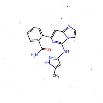 Cc1cc(Nc2nc(-c3ccccc3C(N)=O)cc3nccn23)n[nH]1